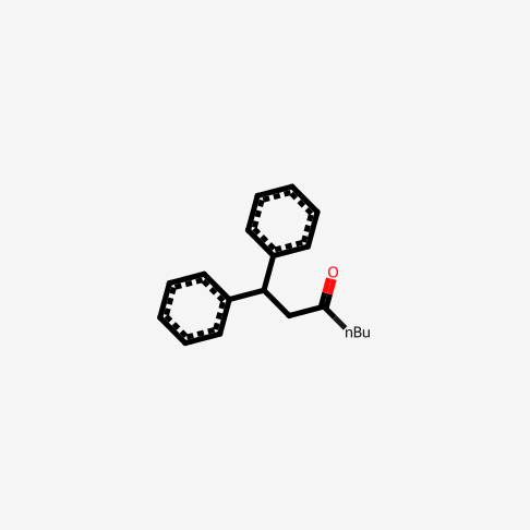 CCCCC(=O)CC(c1ccccc1)c1ccccc1